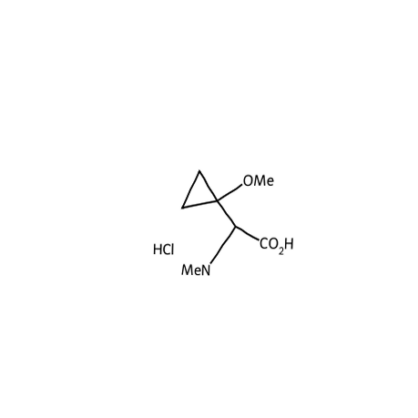 CNC(C(=O)O)C1(OC)CC1.Cl